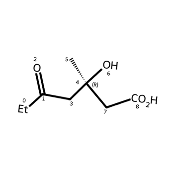 CCC(=O)C[C@@](C)(O)CC(=O)O